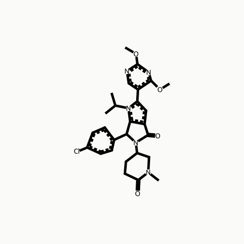 COc1ncc(-c2cc3c(n2C(C)C)C(c2ccc(Cl)cc2)N(C2CCC(=O)N(C)C2)C3=O)c(OC)n1